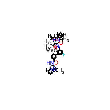 COc1c(CN2O[C@@H](C)[C@@H]([C@H](C)O)[C@H]2C(=O)N[C@H]2C[C@H]3C[C@@H]([C@@H]2C)C3(C)C)cc(F)cc1-c1cccc(C(=O)N[C@@H](Cc2ccccn2)CN(C)C)c1